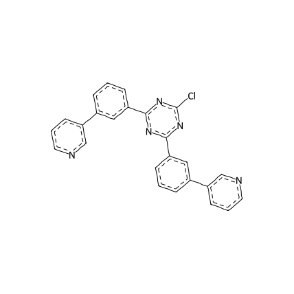 Clc1nc(-c2cccc(-c3cccnc3)c2)nc(-c2cccc(-c3cccnc3)c2)n1